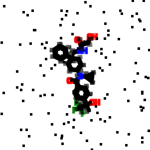 C[C@](O)(c1ccc(C(=O)N(C2CC2)[C@H]2CC[C@](CNC(=O)CO)(c3ccccc3)CC2)cc1)C(F)(F)F